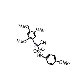 COc1ccc(NS(=O)(=O)/C(C#N)=C/c2cc(OC)c(OC)cc2OC)cc1